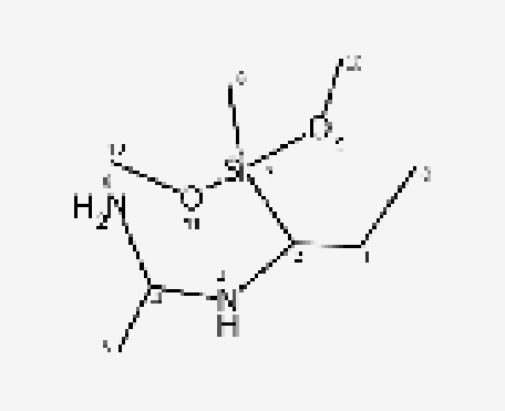 CCC(NC(C)N)[Si](C)(OC)OC